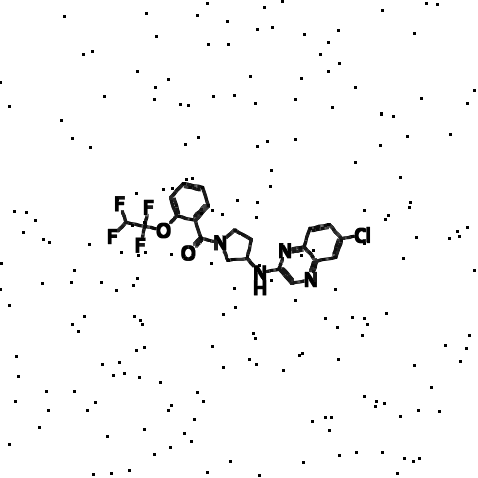 O=C(c1ccccc1OC(F)(F)C(F)F)N1CCC(Nc2cnc3cc(Cl)ccc3n2)C1